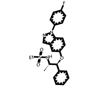 CCS(=O)(=O)N[C@@H](C)[C@@H](Oc1ccc2c(cnn2-c2ccc(F)cc2)c1)c1ccccc1